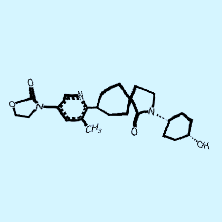 Cc1cc(N2CCOC2=O)cnc1C1CCC2(CC1)CCN([C@H]1CC[C@@H](O)CC1)C2=O